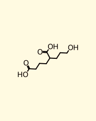 O=C(O)CCCC(CCCO)C(=O)O